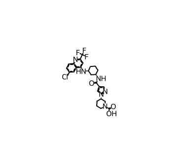 O=C(N[C@@H]1CCC[C@H](Nc2cc(C(F)(F)F)nc3ccc(Cl)cc23)C1)c1cnn([C@H]2CCCN(C(=O)O)C2)c1